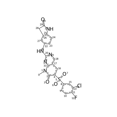 Cn1c(=O)c(S(=O)(=O)c2ccc(F)c(Cl)c2)cc2cnc(Nc3ccc4c(c3)CC(=O)N4)nc21